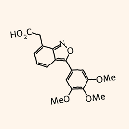 COc1cc(-c2onc3c(CC(=O)O)cccc23)cc(OC)c1OC